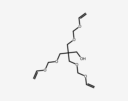 C=COCOCC(CO)(COCOC=C)COCOC=C